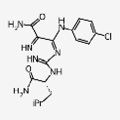 CC(C)C[C@@H](NC(=N)/N=C(/Nc1ccc(Cl)cc1)C(=N)C(N)=O)C(N)=O